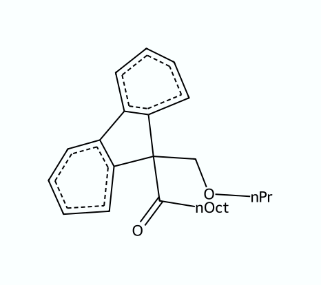 CCCCCCCCC(=O)C1(COCCC)c2ccccc2-c2ccccc21